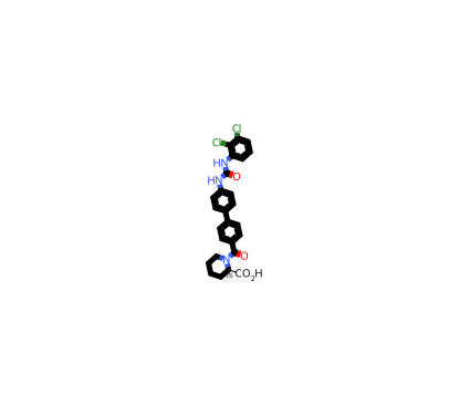 O=C(Nc1ccc(-c2ccc(C(=O)N3CCCC[C@H]3C(=O)O)cc2)cc1)Nc1cccc(Cl)c1Cl